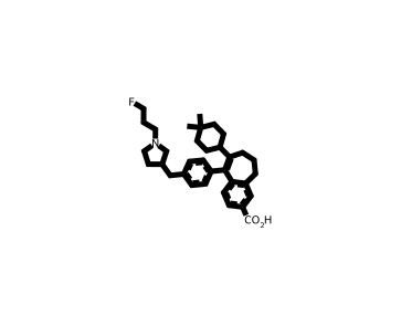 CC1(C)CCC(C2=C(c3ccc(CC4CCN(CCCF)C4)cc3)c3ccc(C(=O)O)cc3CCC2)CC1